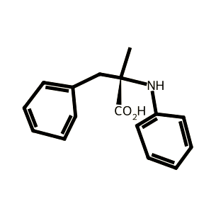 C[C@@](Cc1ccccc1)(Nc1ccccc1)C(=O)O